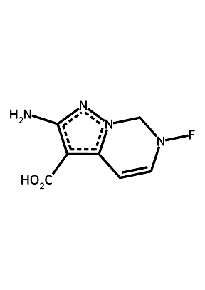 Nc1nn2c(c1C(=O)O)C=CN(F)C2